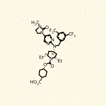 CC[C@@H]1C[C@H](N(Cc2cc(C(F)(F)F)cc(C(F)(F)F)c2)c2ncc(N3CCN(C)C3=O)cn2)C[C@H](CC)N1C(=O)O[C@H]1CC[C@H](C(=O)O)CC1